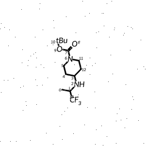 CC(NC1CCN(C(=O)OC(C)(C)C)CC1)C(F)(F)F